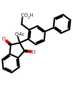 CC(=O)OC1(c2ccc(-c3ccccc3)cc2CC(=O)O)C(=O)c2ccccc2C1=O